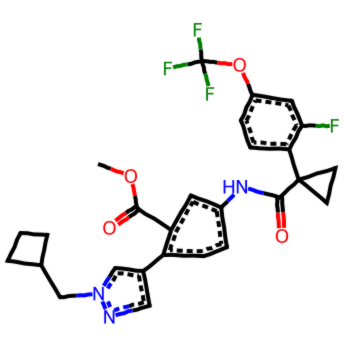 COC(=O)c1cc(NC(=O)C2(c3ccc(OC(F)(F)F)cc3F)CC2)ccc1-c1cnn(CC2CCC2)c1